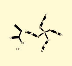 C=CC(=O)O.F.O=C=N[Si](N=C=O)(N=C=O)N=C=O